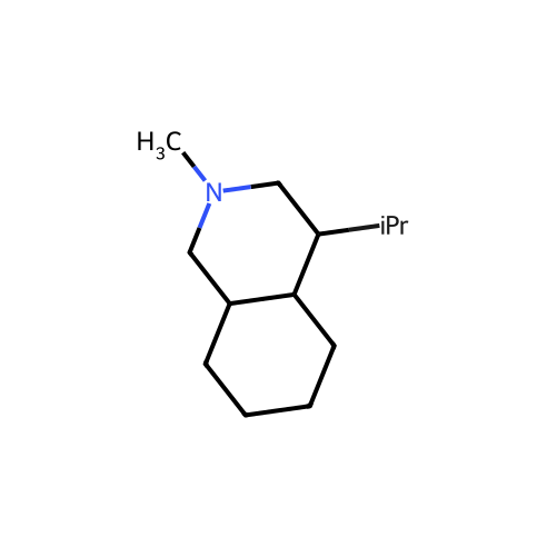 CC(C)C1CN(C)CC2CCCCC21